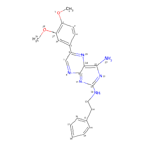 COc1ccc(-c2cnc3nc(NCCc4ccccc4)nc(N)c3n2)cc1OC